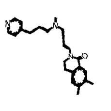 Cc1cc2c(cc1C)C(=O)N(CCCN(C)CCCc1ccncc1)CC2